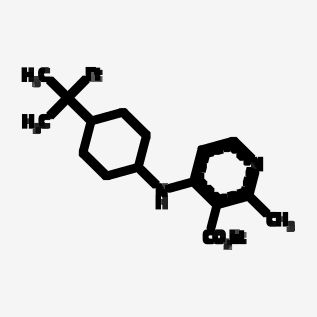 CCOC(=O)c1c(NC2CCC(C(C)(C)CC)CC2)ccnc1C